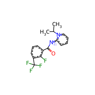 CC(C)n1cccc/c1=N\C(=O)c1cccc(C(F)(F)F)c1F